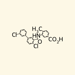 Cc1ccc(C(=O)O)cc1NC(=O)c1cc(-c2cccc(Cl)c2)ccc1Cl